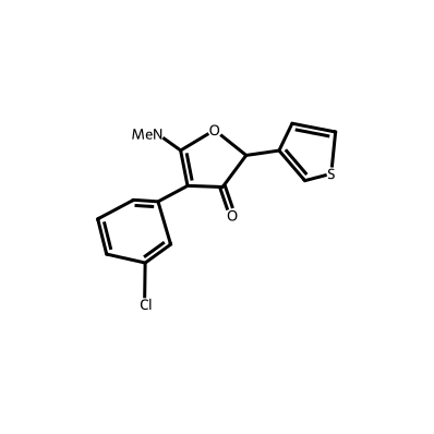 CNC1=C(c2cccc(Cl)c2)C(=O)C(c2ccsc2)O1